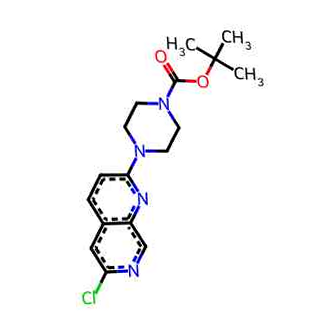 CC(C)(C)OC(=O)N1CCN(c2ccc3cc(Cl)ncc3n2)CC1